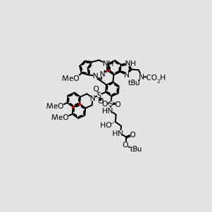 COc1ccc(CN(Cc2ccc(OC)cc2)S(=O)(=O)c2c(S(=O)(=O)NC[C@@H](O)CNC(=O)OC(C)(C)C)ccc(-c3cccc4[nH]c(CN(C(=O)O)C(C)(C)C)nc34)c2C2=N\c3cc(ccc3OC)CN\N=N\2)cc1